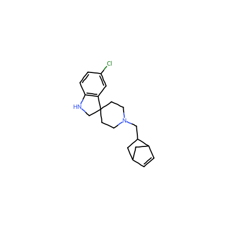 Clc1ccc2c(c1)C1(CCN(CC3CC4C=CC3C4)CC1)CN2